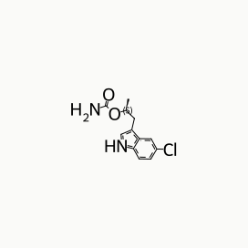 C[C@@H](Cc1c[nH]c2ccc(Cl)cc12)OC(N)=O